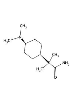 CN(C)[C@H]1CC[C@@H](C(C)(C)C(N)=O)CC1